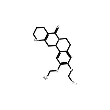 CCOc1cc2c(cc1OCC)C1CC3=C(CCCN3)C(=O)N1CC2